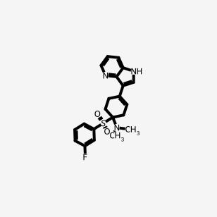 CN(C)C1(S(=O)(=O)c2cccc(F)c2)CC=C(c2c[nH]c3cccnc23)CC1